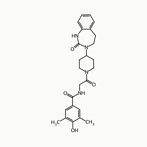 Cc1cc(C(=O)NCC(=O)N2CCC(N3CCc4ccccc4NC3=O)CC2)cc(C)c1O